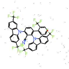 N#Cc1c(-n2c3cc(C(F)(F)F)ccc3c3ccc(C(F)(F)F)cc32)ccc(-c2ccccc2C(F)(F)F)c1-n1c2cc(C(F)(F)F)ccc2c2ccc(C(F)(F)F)cc21